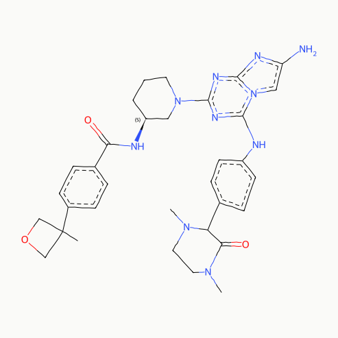 CN1CCN(C)C(c2ccc(Nc3nc(N4CCC[C@H](NC(=O)c5ccc(C6(C)COC6)cc5)C4)nc4nc(N)cn34)cc2)C1=O